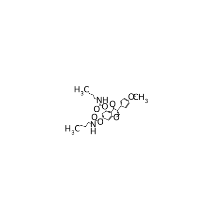 CCCCNC(=O)Oc1cc(OC(=O)NCCCC)c2c(=O)c(-c3ccc(OC)cc3)coc2c1